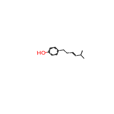 CC(C)C=CCCc1ccc(O)cc1